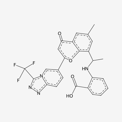 Cc1cc(C(C)Nc2ccccc2C(=O)O)c2oc(-c3ccc4nnc(C(F)(F)F)n4c3)cc(=O)c2c1